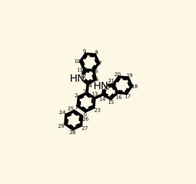 c1ccc(-c2cc3ccccc3[nH]2)c(-c2cc3ccccc3[nH]2)c1.c1ccccc1